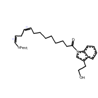 CCCCC/C=C\C/C=C\CCCCCCCC(=O)n1cc(CCO)c2ccccc21